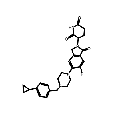 O=C1CCC(N2Cc3cc(N4CCN(Cc5ccc(C6CC6)cc5)CC4)c(F)cc3C2=O)C(=O)N1